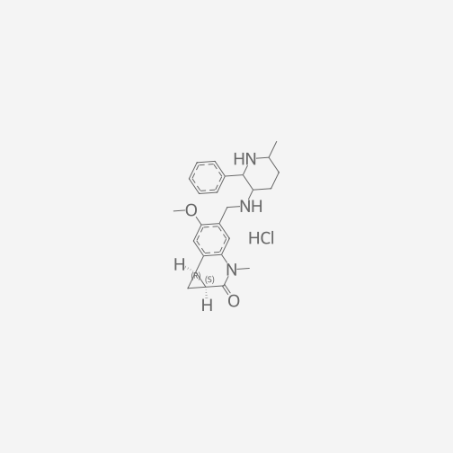 COc1cc2c(cc1CNC1CCC(C)NC1c1ccccc1)N(C)C(=O)[C@H]1C[C@@H]21.Cl